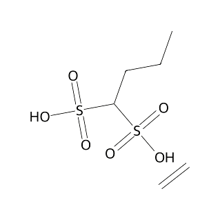 C=C.CCCC(S(=O)(=O)O)S(=O)(=O)O